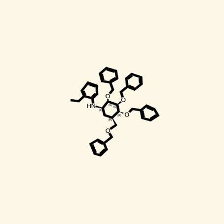 CCc1ccccc1N[C@@H]1C[C@H](COCc2ccccc2)[C@@H](OCc2ccccc2)[C@H](OCc2ccccc2)[C@H]1OCc1ccccc1